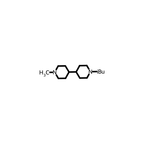 CCC(C)N1CCC(C2CCN(C)CC2)CC1